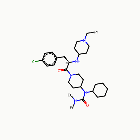 CCN(CC)C(=O)N(C1CCCCC1)C1CCN(C(=O)[C@@H](Cc2ccc(Cl)cc2)NC2CCN(CC(C)C)CC2)CC1